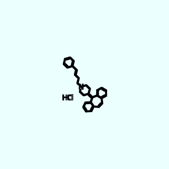 C(=Cc1ccccc1)CCN1CCC(=C2c3ccccc3C=Cc3ccccc32)CC1.Cl